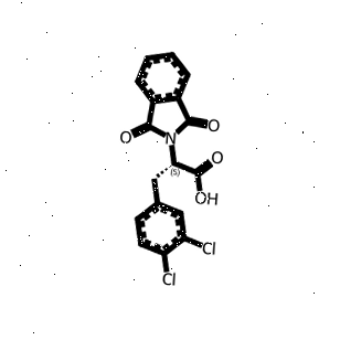 O=C(O)[C@H](Cc1ccc(Cl)c(Cl)c1)N1C(=O)c2ccccc2C1=O